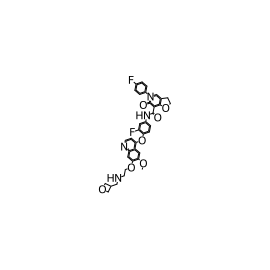 COc1cc2c(Oc3ccc(NC(=O)c4c5c(cn(-c6ccc(F)cc6)c4=O)CCO5)cc3F)ccnc2cc1OCCNCC1COC1